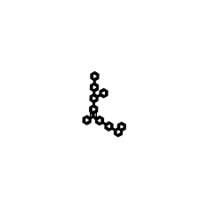 c1ccc(-c2ccc(-c3ccc(-c4ccc(N(c5ccccc5)c5ccc(-c6ccc(-c7cccc8ccccc78)cc6)cc5)cc4)cc3-c3ccccc3)cc2)cc1